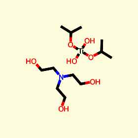 CC(C)[O][Ti]([OH])([OH])[O]C(C)C.OCCN(CCO)CCO